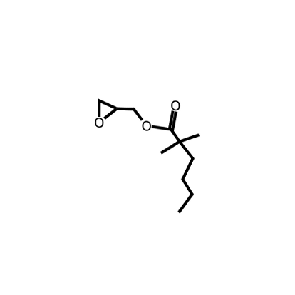 CCCCC(C)(C)C(=O)OCC1CO1